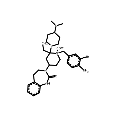 CN(C)C1CCN(C2(CC=O)CC(N3CCc4ccccc4NC3=O)CC[N@+]2(Cc2ccc(N)c(Br)c2)C(=O)[O-])CC1